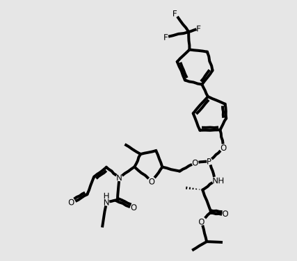 CNC(=O)N(/C=C\C=O)C1OC(COP(N[C@@H](C)C(=O)OC(C)C)Oc2ccc(C3=CCC(C(F)(F)F)C=C3)cc2)CC1C